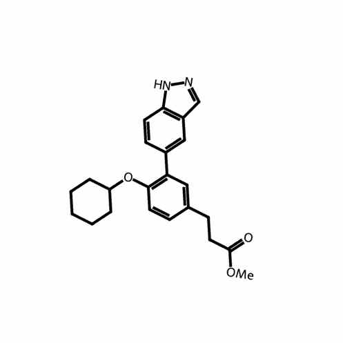 COC(=O)CCc1ccc(OC2CCCCC2)c(-c2ccc3[nH]ncc3c2)c1